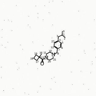 CC(C)Cc1ccc(CN2CCN(C(=O)C3(C)CCC3)CC2)cc1